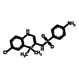 C[N+]1(C)C(NS(=O)(=O)c2ccc(N)cc2)=CNc2ccc(Cl)cc21